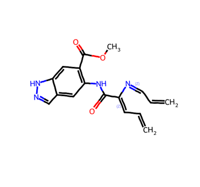 C=C/C=N\C(=C/C=C)C(=O)Nc1cc2cn[nH]c2cc1C(=O)OC